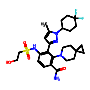 Cc1cc(-c2c(NS(=O)(=O)CCO)ccc(C(N)=O)c2N2CCC3(CC2)CC3)nn1C1CCC(F)(F)CC1